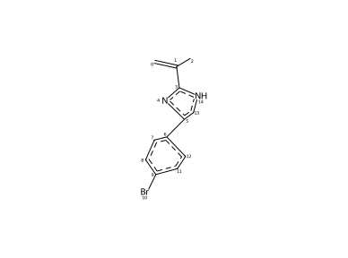 C=C(C)c1nc(-c2ccc(Br)cc2)c[nH]1